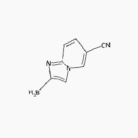 Bc1cn2cc(C#N)ccc2n1